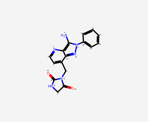 Nc1c2nccc(CN3C(=O)CNC3=O)c2nn1-c1ccccc1